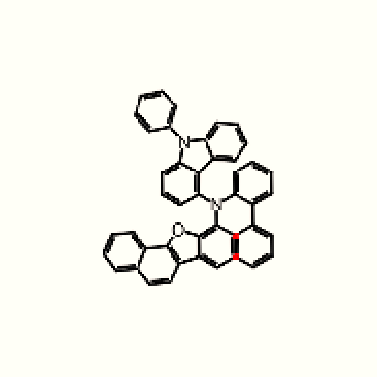 c1ccc(-c2ccccc2N(c2cccc3c2oc2c4ccccc4ccc32)c2cccc3c2c2ccccc2n3-c2ccccc2)cc1